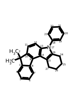 CC1(C)c2ccccc2-c2c1ccc1c2c2c(n1-c1ccccc1)CCCC2